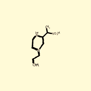 CC(C1CN(CCO)CCN1)S(=O)(=O)O